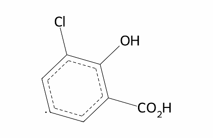 O=C(O)c1c[c]cc(Cl)c1O